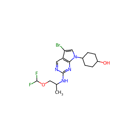 CC(COC(F)F)Nc1ncc2c(Br)cn(C3CCC(O)CC3)c2n1